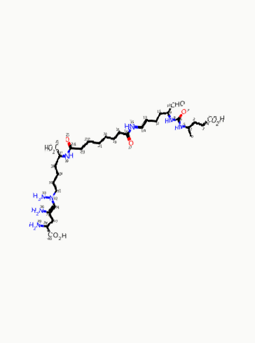 CC(CCC(=O)O)NC(=O)NC(C=O)CCCCNC(=O)CCCCCCC(=O)NC(CCCCN(N)/C=C(\N)CC(N)C(=O)O)C(=O)O